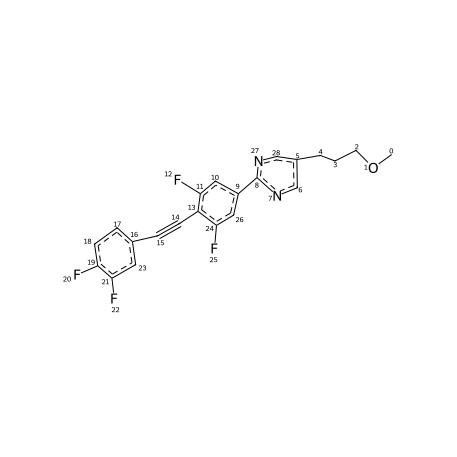 COCCCc1cnc(-c2cc(F)c(C#Cc3ccc(F)c(F)c3)c(F)c2)nc1